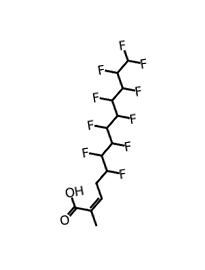 CC(=CCC(F)C(F)C(F)C(F)C(F)C(F)C(F)C(F)C(F)F)C(=O)O